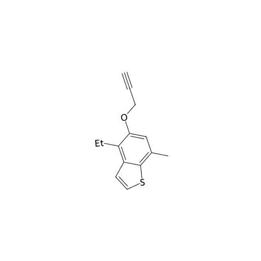 C#CCOc1cc(C)c2sccc2c1CC